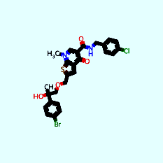 Cn1cc(C(=O)NCc2ccc(Cl)cc2)c(=O)c2cc(COCC(C)(O)c3ccc(Br)cc3)sc21